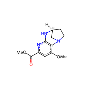 COC(=O)c1cc(OC)c2c(n1)N[C@H]1CCN2C1